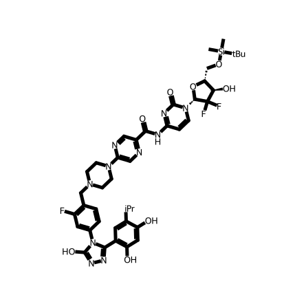 CC(C)c1cc(-c2nnc(O)n2-c2ccc(CN3CCN(c4cnc(C(=O)Nc5ccn([C@@H]6O[C@H](CO[Si](C)(C)C(C)(C)C)[C@@H](O)C6(F)F)c(=O)n5)cn4)CC3)c(F)c2)c(O)cc1O